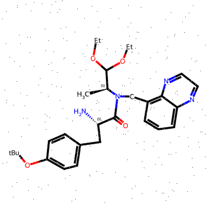 CCOC(OCC)[C@H](C)N(Cc1cccc2nccnc12)C(=O)[C@@H](N)Cc1ccc(OC(C)(C)C)cc1